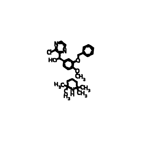 CC1(C)CCCC(C)(C)N1.COc1ccc(C(O)c2nccnc2Cl)cc1OCc1ccccc1